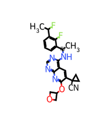 CC(F)c1cccc([C@@H](C)Nc2ncnc3nc(OC4COC4)c(C4(C#N)CC4)cc23)c1F